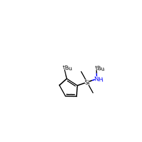 CC(C)(C)N[Si](C)(C)C1=C(C(C)(C)C)CC=C1